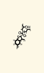 CCCN(CC(C)O)S(=O)(=O)C1Sc2ccc(F)cc2C1C